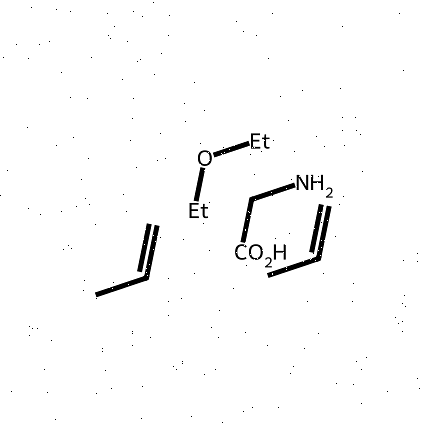 C=CC.C=CC.CCOCC.NCC(=O)O